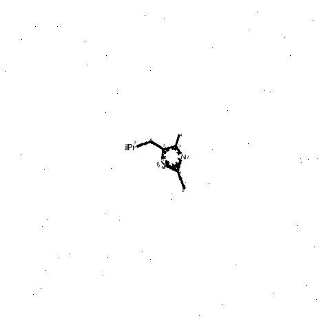 Cc1nc(C)c(CC(C)C)s1